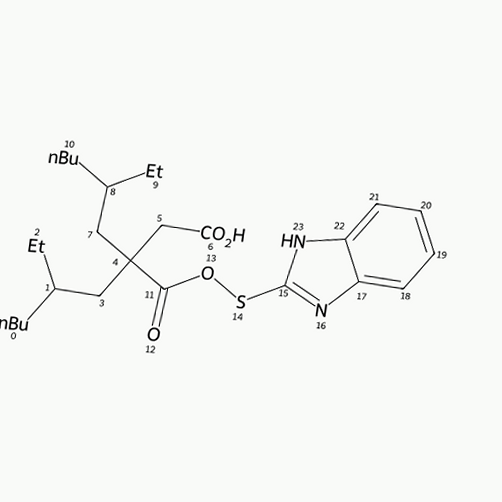 CCCCC(CC)CC(CC(=O)O)(CC(CC)CCCC)C(=O)OSc1nc2ccccc2[nH]1